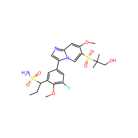 CCC(c1cc(-c2cnc3cc(OC)c(S(=O)(=O)C(C)(C)CO)cn23)cc(F)c1OC)S(N)(=O)=O